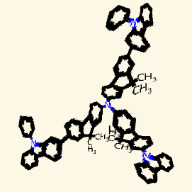 CC1(C)c2cc(-c3ccc4c5ccccc5n(-c5ccccc5)c4c3)ccc2-c2ccc(N(c3ccc4c(c3)C(C)(C)c3cc(-c5ccc6c7ccccc7n(-c7ccccc7)c6c5)ccc3-4)c3ccc4c(c3)C(C)(C)c3cc(-n5c6ccccc6c6ccccc65)ccc3-4)cc21